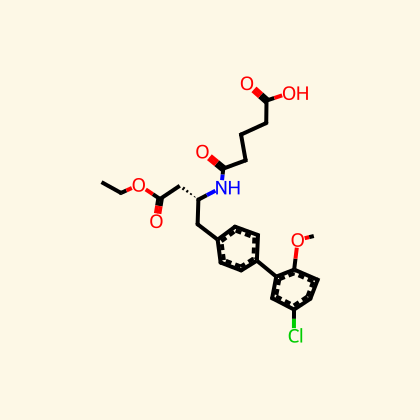 CCOC(=O)C[C@@H](Cc1ccc(-c2cc(Cl)ccc2OC)cc1)NC(=O)CCCC(=O)O